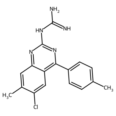 Cc1ccc(-c2nc(NC(=N)N)nc3cc(C)c(Cl)cc23)cc1